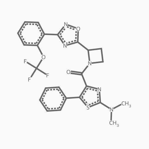 CN(C)c1nc(C(=O)N2CCC2c2nc(-c3ccccc3OC(F)(F)F)no2)c(-c2ccccc2)s1